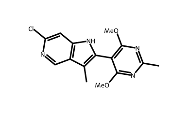 COc1nc(C)nc(OC)c1-c1[nH]c2cc(Cl)ncc2c1C